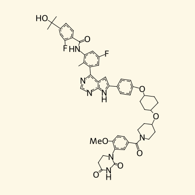 COc1ccc(C(=O)N2CCC(OC3CCC(Oc4ccc(-c5cc6c(-c7cc(F)cc(NC(=O)c8ccc(C(C)(C)O)cc8F)c7C)ncnc6[nH]5)cc4)CC3)CC2)cc1N1CCC(=O)NC1=O